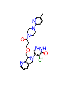 Cc1ccc(N2CCN(C(=O)CCOC[C@@H]3c4ncccc4CN3c3cn[nH]c(=O)c3Cl)CC2)nc1